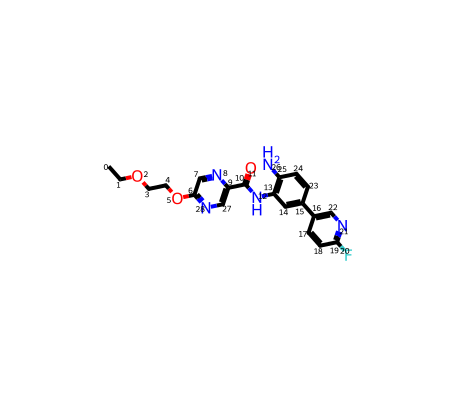 CCOCCOc1cnc(C(=O)Nc2cc(-c3ccc(F)nc3)ccc2N)cn1